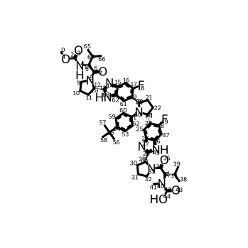 COC(=O)N[C@H](C(=O)N1CCC[C@H]1c1nc2cc(F)c([C@H]3CC[C@H](c4cc5nc([C@@H]6CCCN6C(=O)[C@H](C(C)C)N(C)C(=O)O)[nH]c5cc4F)N3c3ccc(C(C)(C)C)cc3)cc2[nH]1)C(C)C